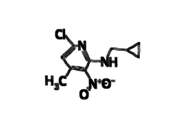 Cc1cc(Cl)nc(NCC2CC2)c1[N+](=O)[O-]